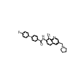 CCc1c(NC(=O)c2ccc(-c3ccc(F)cc3)cc2)ccc2cc(CN3CCCC3)cnc12